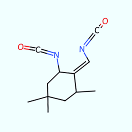 CC1CC(C)(C)CC(N=C=O)C1=CN=C=O